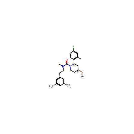 CC(=O)S[C@H]1CCN(C(=O)N(C)CCc2cc(C(F)(F)F)cc(C(F)(F)F)c2)[C@@H](c2ccc(F)cc2C)C1